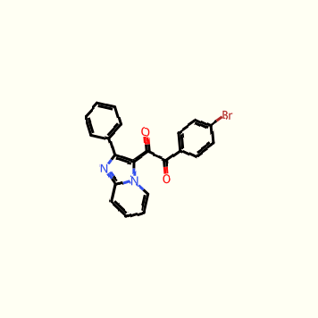 O=C(C(=O)c1c(-c2ccccc2)nc2ccccn12)c1ccc(Br)cc1